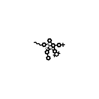 CCCCCc1ccc(N2B3c4oc5ccc(-c6ccccc6)cc5c4-n4c5cc6c(cc5c5c(-c7ccc(C(C)(C)C)cc7)cc(c3c54)-c3ccccc32)C(C)(C)CCC6(C)C)cc1